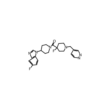 O=C(N1CCC(n2cnc3cc(F)ccc32)CC1)C1(F)CCN(Cc2ccnnc2)CC1